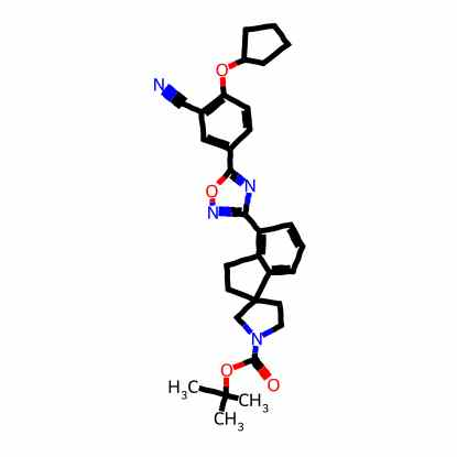 CC(C)(C)OC(=O)N1CCC2(CCc3c(-c4noc(-c5ccc(OC6CCCC6)c(C#N)c5)n4)cccc32)C1